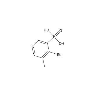 CCc1c(C)cccc1P(=O)(O)O